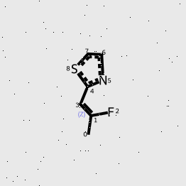 C/C(F)=C/c1nccs1